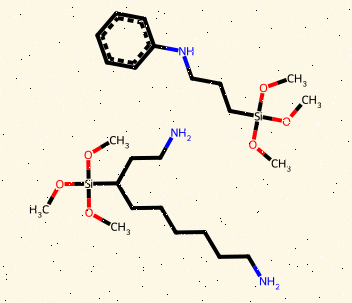 CO[Si](CCCNc1ccccc1)(OC)OC.CO[Si](OC)(OC)C(CCN)CCCCCCN